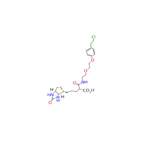 O=C1N[C@H]2[C@H](CS[C@H]2CCCC(C(=O)O)C(=O)NCCOCCOc2ccc(CCCl)cc2)N1